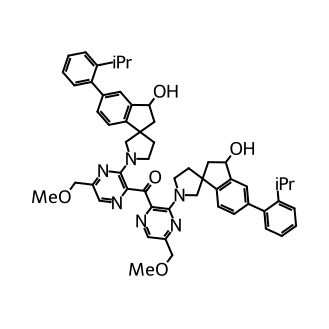 COCc1cnc(C(=O)c2ncc(COC)nc2N2CCC3(CC(O)c4cc(-c5ccccc5C(C)C)ccc43)C2)c(N2CCC3(CC(O)c4cc(-c5ccccc5C(C)C)ccc43)C2)n1